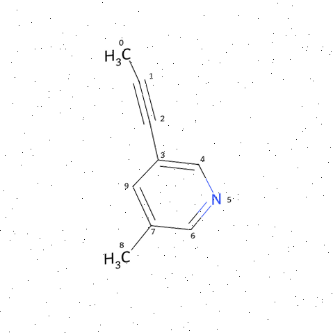 CC#Cc1cncc(C)c1